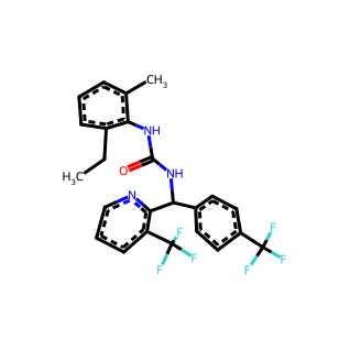 CCc1cccc(C)c1NC(=O)NC(c1ccc(C(F)(F)F)cc1)c1ncccc1C(F)(F)F